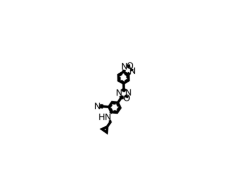 N#Cc1cc(-c2nc(-c3ccc4nonc4c3)no2)ccc1NCC1CC1